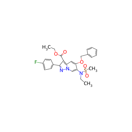 CCOC(=O)c1c(-c2ccc(F)cc2)nn2cc(N(CC)S(C)(=O)=O)c(OCc3ccccc3)cc12